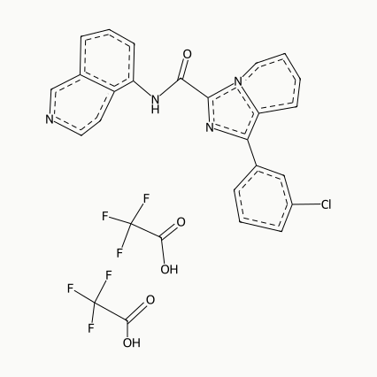 O=C(Nc1cccc2cnccc12)c1nc(-c2cccc(Cl)c2)c2ccccn12.O=C(O)C(F)(F)F.O=C(O)C(F)(F)F